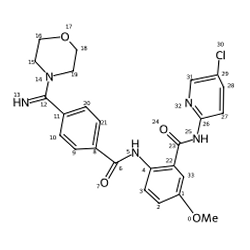 COc1ccc(NC(=O)c2ccc(C(=N)N3CCOCC3)cc2)c(C(=O)Nc2ccc(Cl)cn2)c1